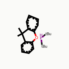 CC(C)(C)PC(C)(C)C.CC1(C)c2ccccc2Oc2ccccc21